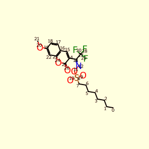 CCCCCCCCS(=O)(=O)O/N=C(\c1cc2ccc(OC)cc2oc1=O)C(F)(F)F